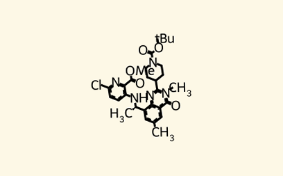 COC(=O)c1nc(Cl)ccc1N[C@H](C)c1cc(C)cc2c(=O)n(C)c(C3CCN(C(=O)OC(C)(C)C)CC3)nc12